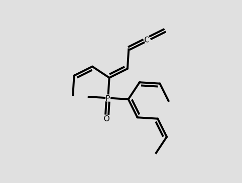 C=C=C/C=C(\C=C/C)P(C)(=O)C(/C=C\C)=C/C=C\C